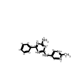 Cc1ncc(Nc2nc(N)nc(-c3ccccc3)n2)cn1